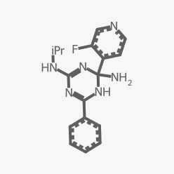 CC(C)NC1=NC(N)(c2ccncc2F)NC(c2ccccc2)=N1